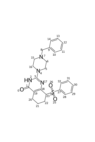 O=c1[nH]c(N2CCN(Cc3ccccc3)CC2)nc2c1CCCC2S(=O)(=O)c1ccccc1